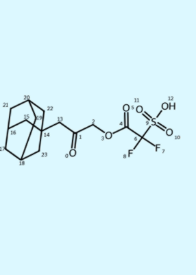 O=C(COC(=O)C(F)(F)S(=O)(=O)O)CC12CC3CC(CC(C3)C1)C2